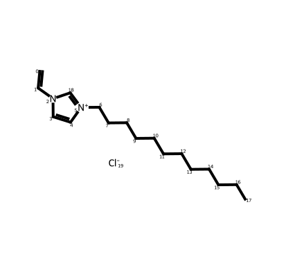 C=Cn1cc[n+](CCCCCCCCCCCC)c1.[Cl-]